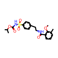 COc1c(C)cccc1C(=O)NCCc1ccc(S(=O)(=O)NC(=O)OC(C)C)cc1